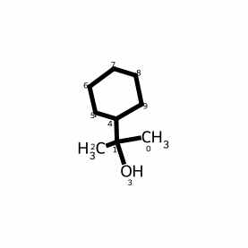 CC(C)(O)C1[CH]CCCC1